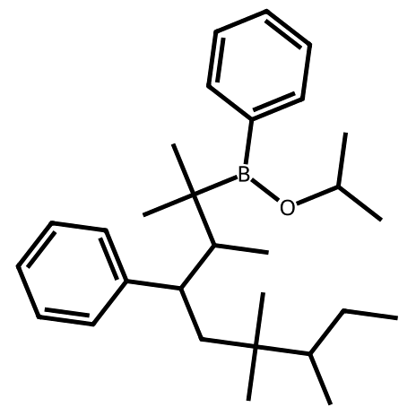 CCC(C)C(C)(C)CC(c1ccccc1)C(C)C(C)(C)B(OC(C)C)c1ccccc1